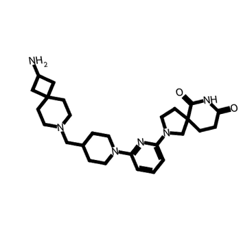 NC1CC2(CCN(CC3CCN(c4cccc(N5CCC6(CCC(=O)NC6=O)C5)n4)CC3)CC2)C1